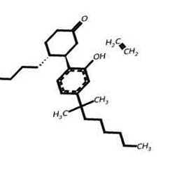 C=C.CCCCCCC(C)(C)c1ccc([C@@H]2CC(=O)CC[C@H]2CCCO)c(O)c1